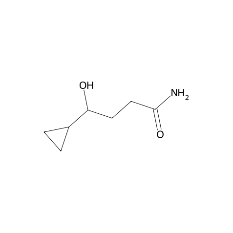 NC(=O)CCC(O)C1CC1